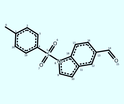 Cc1ccc(S(=O)(=O)n2ccc3cc(C=O)ccc32)cc1